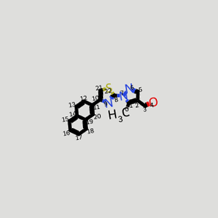 Cc1c(C=O)cnn1-c1nc(-c2ccc3ccccc3c2)cs1